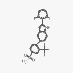 CS(=O)(=O)c1ccc(-c2ccc3[nH]c(-c4c(F)cccc4F)cc3c2)c(C(F)(F)F)c1